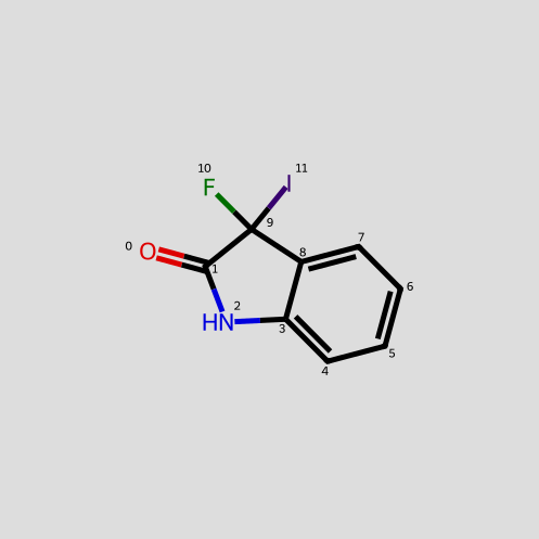 O=C1Nc2ccccc2C1(F)I